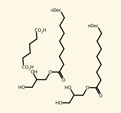 CCCCCCCCCCCCCCCCCC(=O)OCC(O)CO.CCCCCCCCCCCCCCCCCC(=O)OCC(O)CO.O=C(O)CCCCC(=O)O